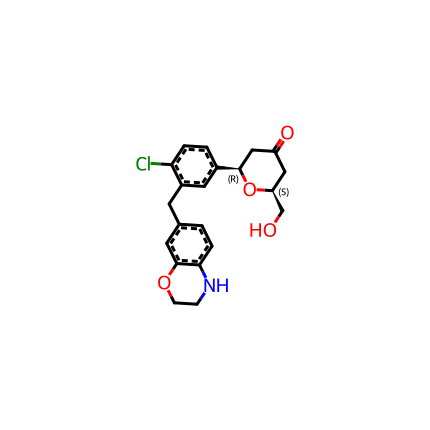 O=C1C[C@@H](CO)O[C@@H](c2ccc(Cl)c(Cc3ccc4c(c3)OCCN4)c2)C1